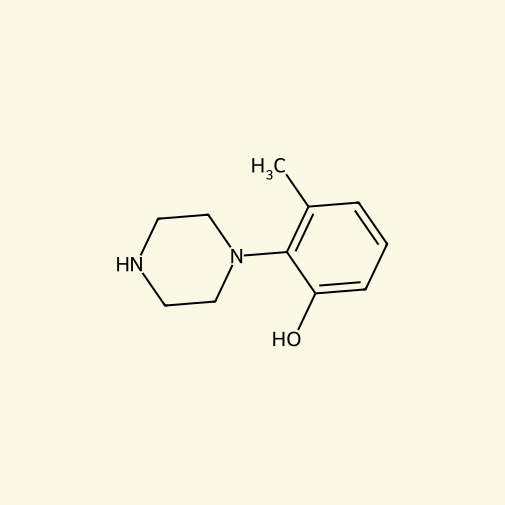 Cc1cccc(O)c1N1CCNCC1